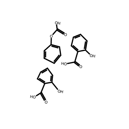 O=C(O)Oc1ccccc1.O=C(O)c1ccccc1O.O=C(O)c1ccccc1O